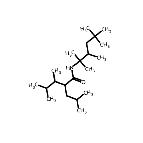 CC(C)CC(C(=O)NC(C)(C)C(C)CC(C)(C)C)C(C)C(C)C